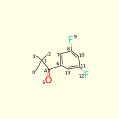 CC(C)(C)C(=O)c1cc(F)cc(F)c1